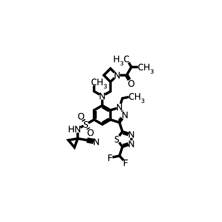 CCN(CC1CCN1C(=O)C(C)C)c1cc(S(=O)(=O)NC2(C#N)CC2)cc2c(-c3nnc(C(F)F)s3)nn(CC)c12